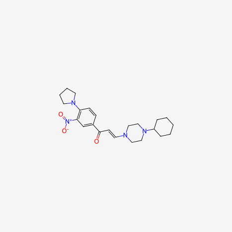 O=C(C=CN1CCN(C2CCCCC2)CC1)c1ccc(N2CCCC2)c([N+](=O)[O-])c1